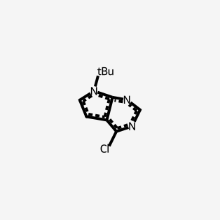 CC(C)(C)n1ccc2c(Cl)ncnc21